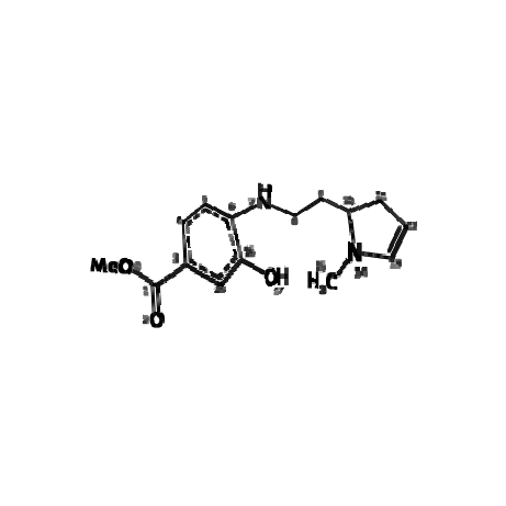 COC(=O)c1ccc(NCCC2CC=CN2C)c(O)c1